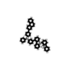 c1ccc(N(c2ccc(-c3ccc4c(ccc5ccccc54)c3)cc2)c2cccc(-c3cccc4c3c3ccccc3n4-c3cccc4c3oc3ccccc34)c2)cc1